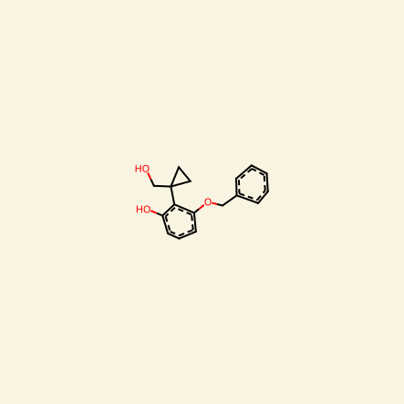 OCC1(c2c(O)cccc2OCc2ccccc2)CC1